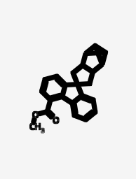 COC(=O)c1cccc2c1-c1ccccc1C21CC2C3C=CC(C3)C2C1